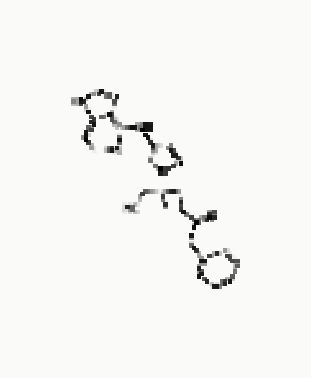 N#CCC1(n2cc(Nc3ncnc4[nH]ccc34)cn2)CN(C(=O)Cc2ccccc2)C1